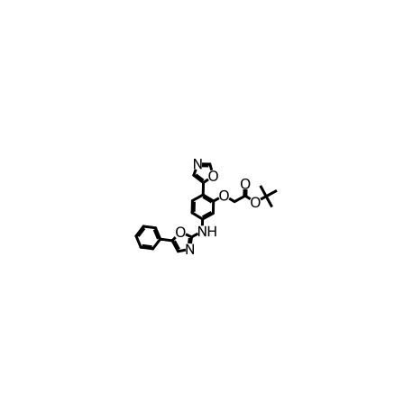 CC(C)(C)OC(=O)COc1cc(Nc2ncc(-c3ccccc3)o2)ccc1-c1cnco1